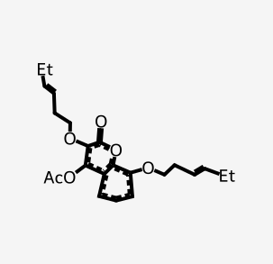 CCC=CCCOc1c(OC(C)=O)c2cccc(OCCC=CCC)c2oc1=O